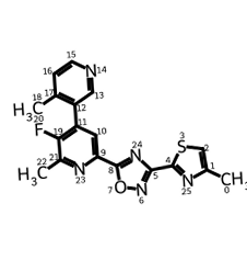 Cc1csc(-c2noc(-c3cc(-c4cnccc4C)c(F)c(C)n3)n2)n1